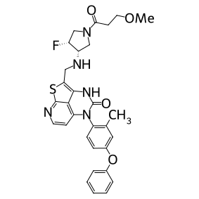 COCCC(=O)N1C[C@@H](F)[C@@H](NCc2sc3nccc4c3c2NC(=O)N4c2ccc(Oc3ccccc3)cc2C)C1